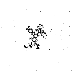 COC(=O)N[C@H](C(=O)N1CC2(CCC(F)(F)CC2)CC1C(=O)N[C@@H](CCC(C)(F)F)C(=O)C(=O)NC1CC1)C(C)(C)C